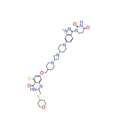 Cn1nc(N2CCC(=O)NC2=O)c2ccc(N3CCC(N4CC(N5CCC(COc6cc(F)c7c(=O)[nH]c(CSC8CCOCC8)nc7c6)CC5)C4)CC3)cc21